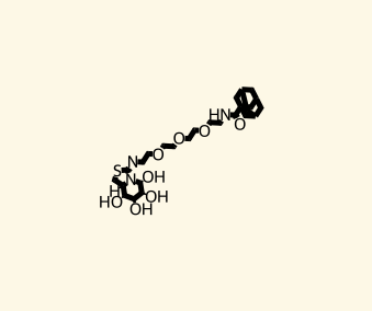 O=C(NCCOCCOCCOCC/N=C1/SC[C@@H]2[C@@H](O)[C@H](O)[C@@H](O)[C@@H](O)N12)C12CC3CC(CC(C3)C1)C2